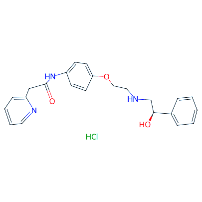 Cl.O=C(Cc1ccccn1)Nc1ccc(OCCNC[C@H](O)c2ccccc2)cc1